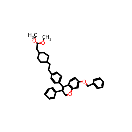 COC(CC1CCC(CCc2ccc(C3=C(c4ccccc4)COc4cc(OCc5ccccc5)ccc43)cc2)CC1)OC